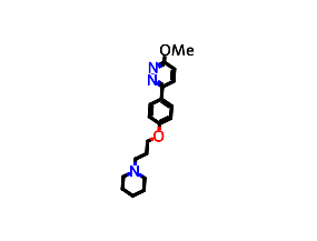 COc1ccc(-c2ccc(OCCCN3CCCCC3)cc2)nn1